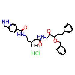 CC(CCNC(=O)c1ccc(CN)cc1)CC(=O)NCC(=O)C(CCc1ccccc1)OCc1ccccc1.Cl